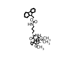 COC(=O)C1(NC(=O)[C@H](CCCCNC(=O)OCC2c3ccccc3-c3ccccc32)NC(=O)OC(C)(C)C)CCC1